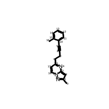 Cc1cc2nc(CCC#Cc3ccccc3C)ccn2n1